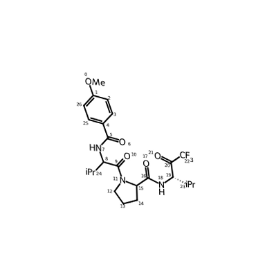 COc1ccc(C(=O)NC(C(=O)N2CCCC2C(=O)N[C@H](C(=O)C(F)(F)F)C(C)C)C(C)C)cc1